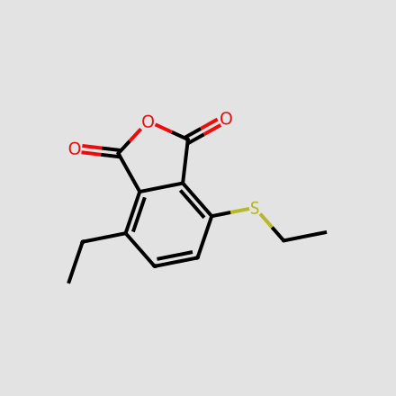 CCSc1ccc(CC)c2c1C(=O)OC2=O